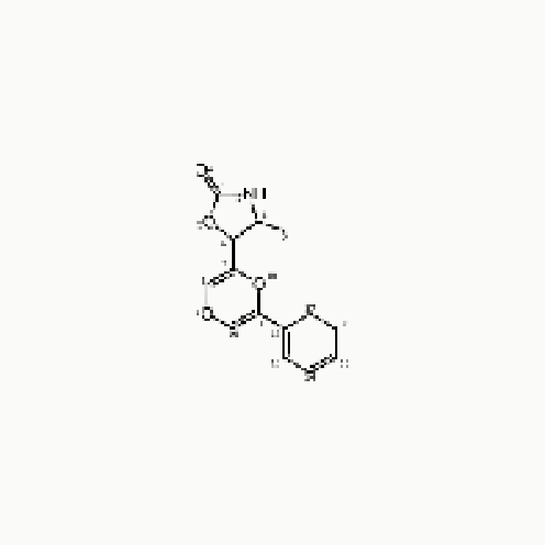 CC1NC(=O)OC1C1=COC=C(C2=CC=CCC2)O1